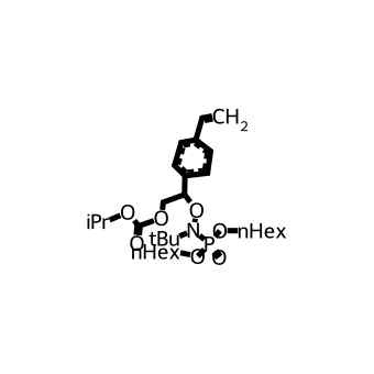 C=Cc1ccc(C(COC(=O)OC(C)C)ON(C(C)(C)C)P(=O)(OCCCCCC)OCCCCCC)cc1